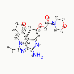 CCc1nc2c(N)nc3cc(OCC(=O)N4CCOCC4)ccc3c2n1CC1CCOCC1